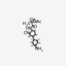 CC(=O)OC(C)(C)C(=O)Nc1ccc(-c2ccc(N)cc2)cc1Cl